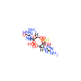 Nc1nc2c(nnn2[C@@H]2O[C@@H]3CO[P@@](=O)(S)O[C@H]4[C@@H](O)[C@H](n5cnc6c(N)ncnc65)[C@H]5CC54COP(=O)(O)O[C@@H]2C3)c(=O)[nH]1